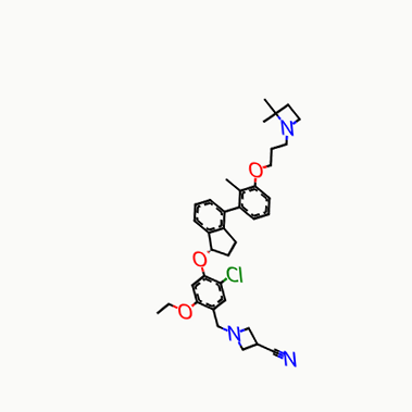 CCOc1cc(O[C@H]2CCc3c(-c4cccc(OCCCN5CCC5(C)C)c4C)cccc32)c(Cl)cc1CN1CC(C#N)C1